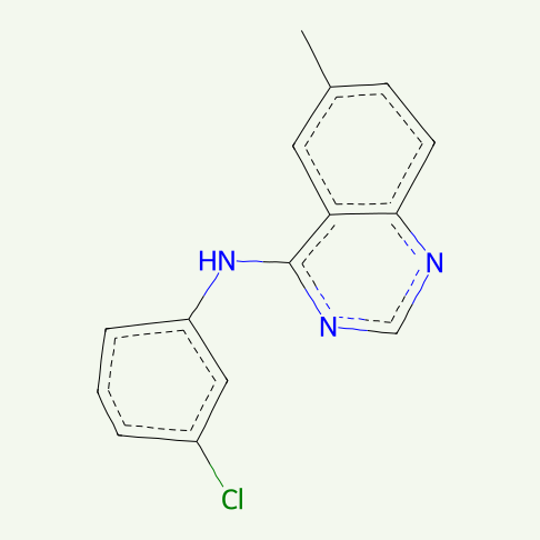 Cc1ccc2ncnc(Nc3cccc(Cl)c3)c2c1